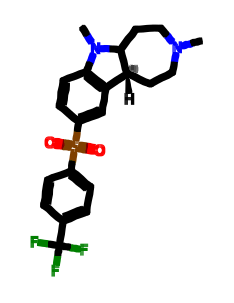 CN1CCC2[C@H](CC1)c1cc(S(=O)(=O)c3ccc(C(F)(F)F)cc3)ccc1N2C